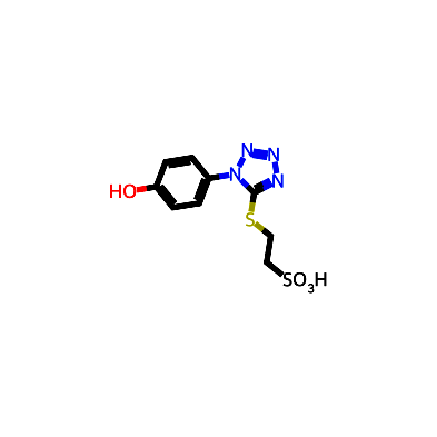 O=S(=O)(O)CCSc1nnnn1-c1ccc(O)cc1